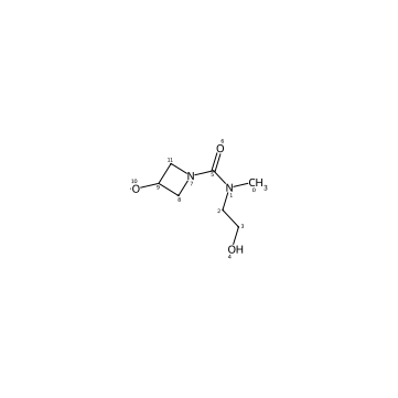 CN(CCO)C(=O)N1CC([O])C1